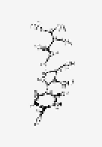 CC[C@@H](C)[C@@H](N)C(=O)OC[C@H]1O[C@@H](n2ncc(=O)[nH]c2=O)C(O)C1O